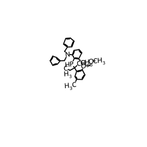 CCC(C)(Pc1c(C)cccc1N(Cc1ccccc1)Cc1ccccc1)c1cc(C)ccc1OCOC